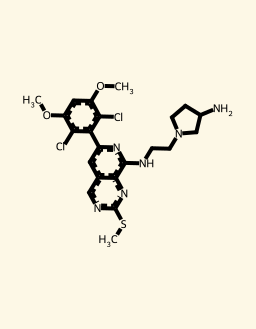 COc1cc(OC)c(Cl)c(-c2cc3cnc(SC)nc3c(NCCN3CCC(N)C3)n2)c1Cl